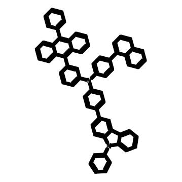 c1ccc(-c2c3ccccc3c(-c3cccc(N(c4ccc(-c5ccc6c(c5)c5ccccc5n6-c5ccccc5)cc4)c4ccc(-c5cccc6ccccc56)cc4)c3)c3ccccc23)cc1